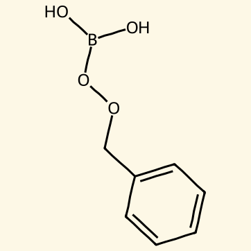 OB(O)OOCc1ccccc1